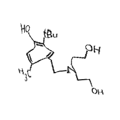 Cc1cc(O)c(C(C)(C)C)cc1CN(CCO)CCO